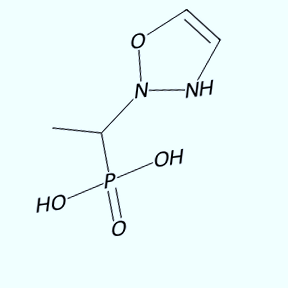 CC(N1NC=CO1)P(=O)(O)O